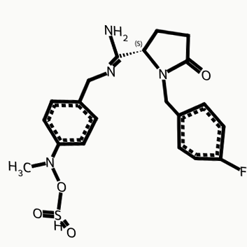 CN(O[SH](=O)=O)c1ccc(CN=C(N)[C@@H]2CCC(=O)N2Cc2ccc(F)cc2)cc1